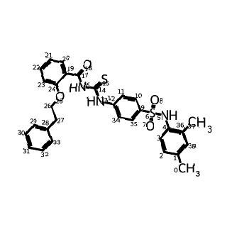 Cc1ccc(NS(=O)(=O)c2ccc(NC(=S)NC(=O)c3ccccc3OCCc3ccccc3)cc2)c(C)c1